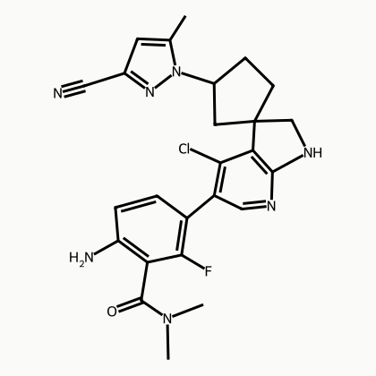 Cc1cc(C#N)nn1C1CCC2(CNc3ncc(-c4ccc(N)c(C(=O)N(C)C)c4F)c(Cl)c32)C1